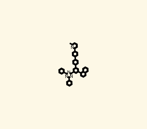 Cc1cccc(-c2ccc(-c3ccc(-c4cc(-c5nc(-c6ccccc6)nc(-c6ccccc6)n5)cc(-c5cccc6ccccc56)c4)cc3)cc2)n1